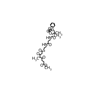 COC(=O)CCC(=O)C(C)C(=O)CC(=O)SCCNC(=O)CCNC(=O)[C@@H]1OP(=O)(Oc2ccccc2)OCC1(C)C